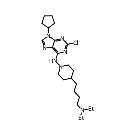 CCN(CC)CCCCC1CCN(Nc2nc(Cl)nc3c2ncn3C2CCCC2)CC1